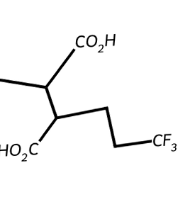 CC(C(=O)O)C(CCC(F)(F)F)C(=O)O